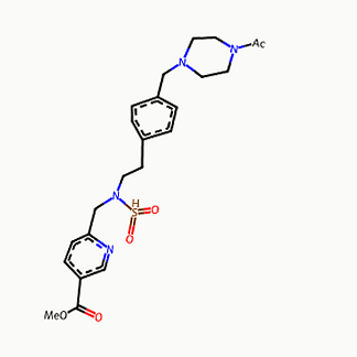 COC(=O)c1ccc(CN(CCc2ccc(CN3CCN(C(C)=O)CC3)cc2)[SH](=O)=O)nc1